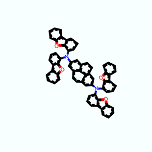 c1ccc2c(c1)oc1c(N(c3cc4ccc5cc(N(c6cccc7c6oc6ccccc67)c6cccc7c6oc6ccccc67)cc6ccc(c3)c4c56)c3cccc4c3oc3ccccc34)cccc12